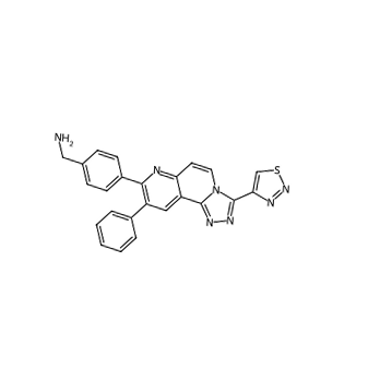 NCc1ccc(-c2nc3ccn4c(-c5csnn5)nnc4c3cc2-c2ccccc2)cc1